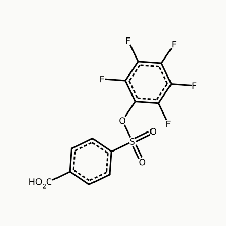 O=C(O)c1ccc(S(=O)(=O)Oc2c(F)c(F)c(F)c(F)c2F)cc1